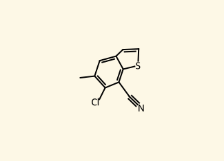 Cc1cc2ccsc2c(C#N)c1Cl